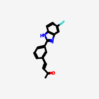 CC(=O)/C=C/c1cccc(-c2nc3cc(F)ccc3[nH]2)c1